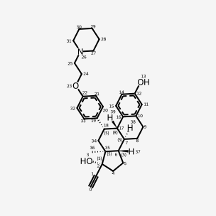 C#C[C@]1(O)CC[C@H]2[C@@H]3CCc4cc(O)ccc4[C@H]3[C@@H](c3ccc(OCCN4CCCCC4)cc3)C[C@@]21C